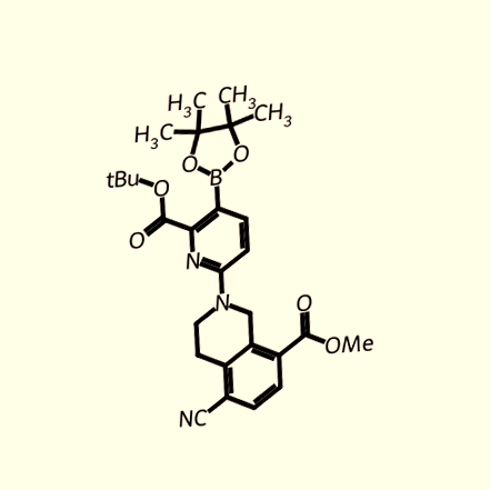 COC(=O)c1ccc(C#N)c2c1CN(c1ccc(B3OC(C)(C)C(C)(C)O3)c(C(=O)OC(C)(C)C)n1)CC2